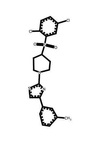 Cc1cccc(-c2csc(N3CCC(S(=O)(=O)c4cc(Cl)ccc4Cl)CC3)n2)c1